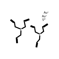 C=CCP(CC=C)CC=C.C=CCP(CC=C)CC=C.[Au+].[Au+].[S-2]